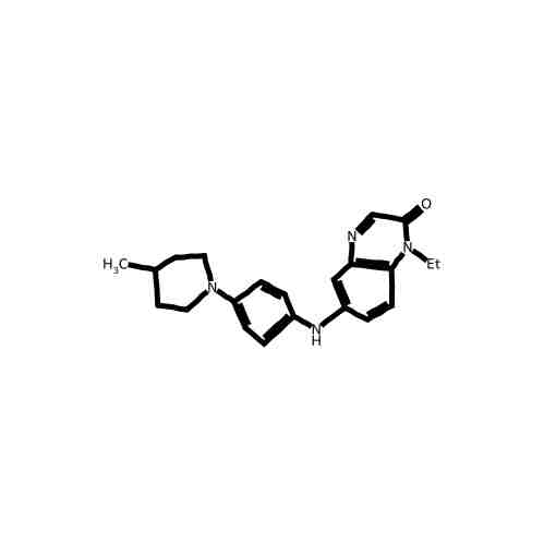 CCn1c(=O)cnc2cc(Nc3ccc(N4CCC(C)CC4)cc3)ccc21